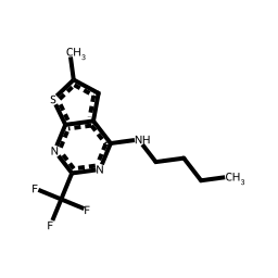 CCCCNc1nc(C(F)(F)F)nc2sc(C)cc12